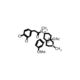 COc1cccc([C@@]23CCN(C)C[C@@]2(OC(C)=O)CC[C@@H](N(C)C(=O)Cc2ccc(Cl)c(Cl)c2)C3)c1